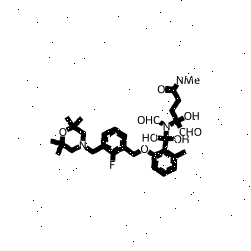 CNC(=O)CCC(O)(C=O)N(C=O)C(O)(O)c1c(C)cccc1OCc1cccc(CN2CC(C)(C)OC(C)(C)C2)c1F